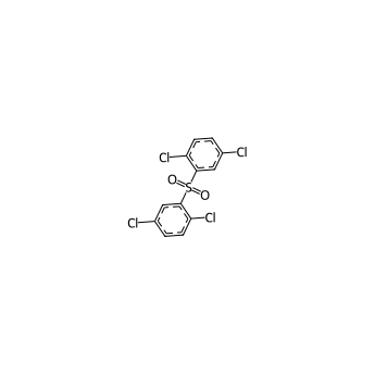 O=S(=O)(c1cc(Cl)ccc1Cl)c1cc(Cl)ccc1Cl